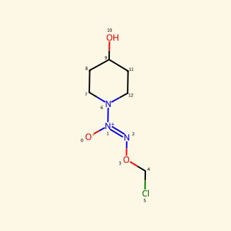 [O-]/[N+](=N\OCCl)N1CCC(O)CC1